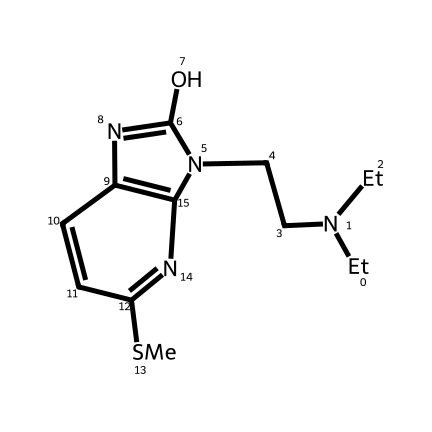 CCN(CC)CCn1c(O)nc2ccc(SC)nc21